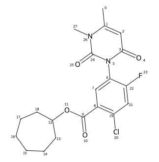 Cc1cc(=O)n(-c2cc(C(=O)OC3CCCCCC3)c(Cl)cc2F)c(=O)n1C